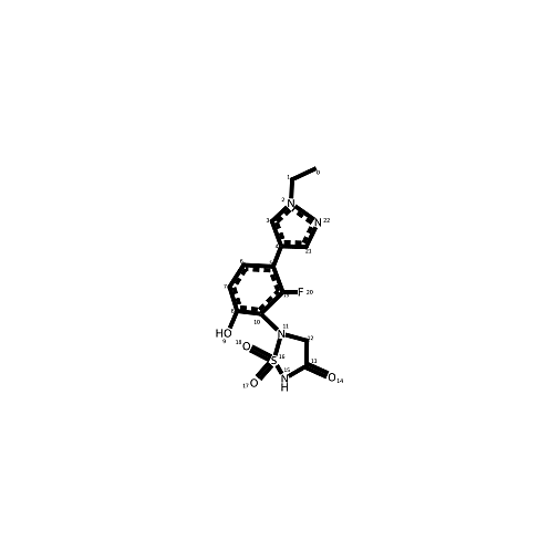 CCn1cc(-c2ccc(O)c(N3CC(=O)NS3(=O)=O)c2F)cn1